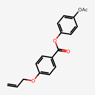 C=CCOc1ccc(C(=O)Oc2ccc(OC(C)=O)cc2)cc1